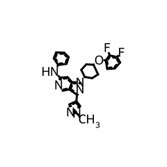 Cn1cc(-c2nn([C@H]3CC[C@@H](Oc4cccc(F)c4F)CC3)c3cc(Nc4ccccc4)ncc23)cn1